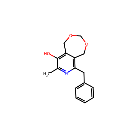 Cc1nc(Cc2ccccc2)c2c(c1O)COCOC2